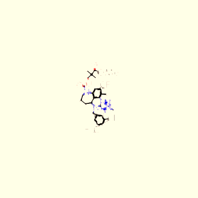 COC(=O)C(C)(C)COC(=O)N1CCCC(N(Cc2cc(C(F)(F)F)cc(C(F)(F)F)c2)c2nnn(C)n2)c2cc(C)c(C(F)(F)F)cc21